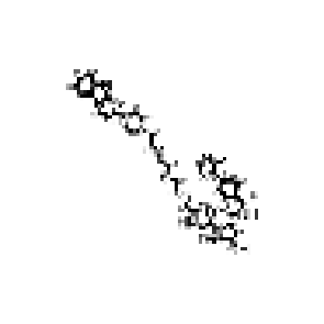 Cc1ncsc1-c1ccc([C@H](C)NC(=O)[C@@H]2C[C@@H](O)CN2C(=O)[C@@H](NC(=O)COCCOCCOCCN2CCN(c3ccn4c(n3)nc3ccccc34)CC2)C(C)(C)C)cc1